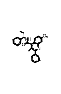 CC[C@H](NC(=O)c1c(C)c(-c2ccccc2)nc2cc(OC)ccc12)c1ccccc1